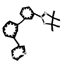 CC1(C)OB(c2cccc(-c3cccc(-c4cncnc4)c3)c2)OC1(C)C